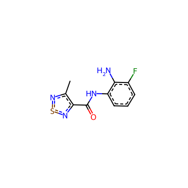 Cc1nsnc1C(=O)Nc1cccc(F)c1N